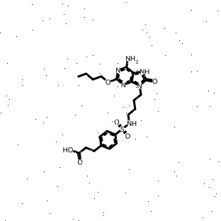 CCCCOc1nc(N)c2[nH]c(=O)n(CCCCNS(=O)(=O)c3ccc(CCC(=O)O)cc3)c2n1